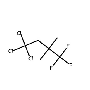 CC(C)([CH]C(Cl)(Cl)Cl)C(F)(F)F